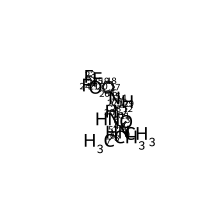 CNC(=O)[C@H](CC(C)C)N[C@H]1CC[C@@H]2CN(c3cccc(OC(F)(F)F)c3)C[C@@H]21